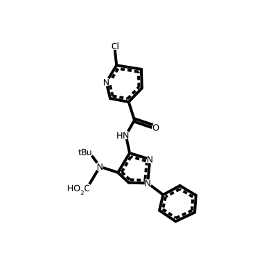 CC(C)(C)N(C(=O)O)c1cn(-c2ccccc2)nc1NC(=O)c1ccc(Cl)nc1